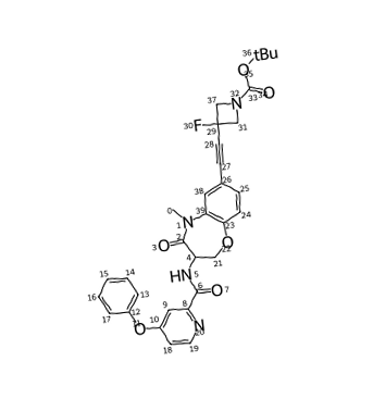 CN1C(=O)C(NC(=O)c2cc(Oc3ccccc3)ccn2)COc2ccc(C#CC3(F)CN(C(=O)OC(C)(C)C)C3)cc21